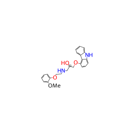 COc1ccccc1OCCNC[C@H](O)COc1cccc2[nH]c3ccccc3c12